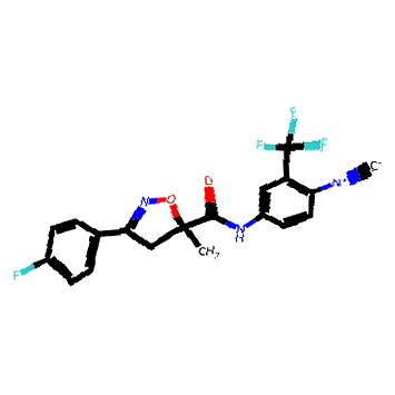 [C-]#[N+]c1ccc(NC(=O)C2(C)CC(c3ccc(F)cc3)=NO2)cc1C(F)(F)F